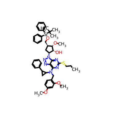 CCCSc1nc(N(Cc2ccc(OC)cc2OC)C2CC2c2ccccc2)c2nnn([C@H]3C[C@@H](CO[Si](c4ccccc4)(c4ccccc4)C(C)(C)C)[C@H](OC)[C@@H]3O)c2n1